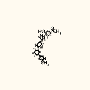 CC(=O)N1CC[C@@H](n2cc(-c3cnc(-c4cccc(-c5cnn(C)c5)c4)nc3)cn2)[C@H](O)C1